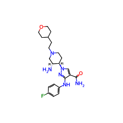 NC(=O)c1cn([C@@H]2CCN(CCC3CCOCC3)C[C@H]2N)nc1Nc1ccc(F)cc1